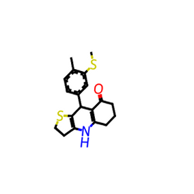 CSc1cc(C2C3=C(CCS3)NC3=C2C(=O)CCC3)ccc1C